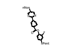 CCCCCCCCCc1cnc(-c2ccc(C(=O)Oc3ccc(CCCCC)cc3F)cc2)nc1